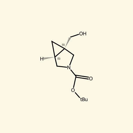 CC(C)(C)OC(=O)N1C[C@H]2C[C@@]2(CO)C1